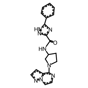 O=C(NC1CCN(c2nccn3nccc23)C1)c1n[nH]c(-c2ccccc2)n1